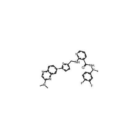 C[C@H](NC(=O)c1cccnc1NCc1ccc(-c2ccc3ncc(N(C)C)nc3c2)s1)c1ccc(F)c(F)c1